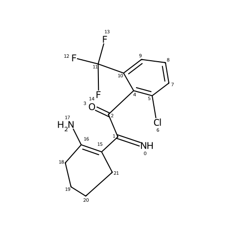 N=C(C(=O)c1c(Cl)cccc1C(F)(F)F)C1=C(N)CCCC1